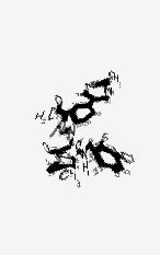 CC(=O)c1nn(CC(=O)N2C3C[C@]3(C)C[C@H]2C(=O)NCc2cccc(Cl)c2F)c2ccc(-c3cnc(C)nc3)cc12